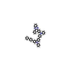 c1ccc(-c2ccc(-c3ccc4c(c3)c3cc(-c5ccc(N(c6ccccc6)c6ccc(-c7nc8ccccc8nc7-c7ccccc7)cc6)cc5)ccc3n4-c3ccccc3)cc2)cc1